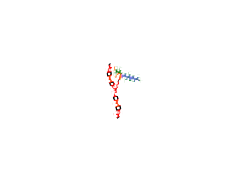 C=CC(=O)Oc1ccc(S(=O)(=O)c2ccc(OCC(COCCCOC(F)(/C(F)=C(F)/C(F)=C(F)/C(F)=C(F)/C(F)=C(\F)CF)C(F)(F)C(F)(F)F)Oc3ccc(S(=O)(=O)c4ccc(OC(=O)C=C)cc4)cc3)cc2)cc1